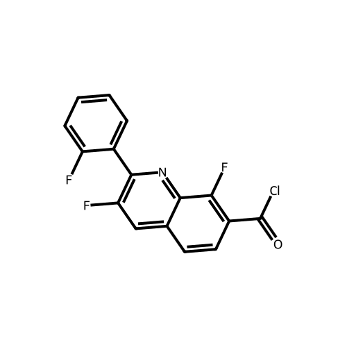 O=C(Cl)c1ccc2cc(F)c(-c3ccccc3F)nc2c1F